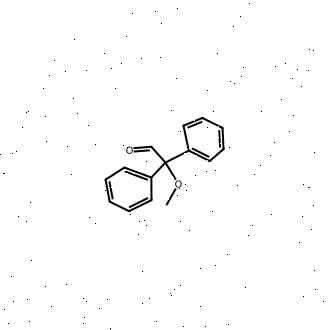 COC(C=O)(c1ccccc1)c1ccccc1